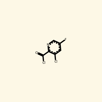 O=C(Cl)c1ncc(F)cc1Cl